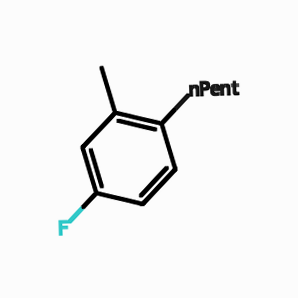 CCCCCc1ccc(F)cc1C